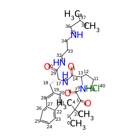 CCC(C)(C)C(=O)C(=O)N1CCCC1C(=O)N[C@H](Cc1ccc2ccccc2c1)C(=O)NCCCNCC(C)C.Cl